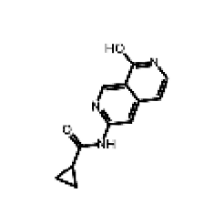 O=C(Nc1cc2ccnc(O)c2cn1)C1CC1